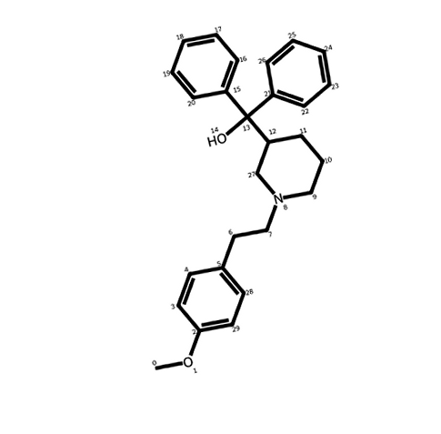 COc1ccc(CCN2CCCC(C(O)(c3ccccc3)c3ccccc3)C2)cc1